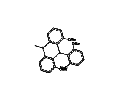 COc1cccc(OC)c1C1c2c(OC)cccc2N(C)c2cccc(OC)c21